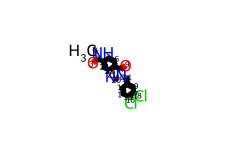 CNC(=O)c1ccc2c(=O)n(Cc3ccc(Cl)c(Cl)c3)cnc2c1